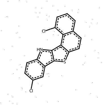 Clc1ccc2[nH]c3c(sc4ccc5cccc(Cl)c5c43)c2c1